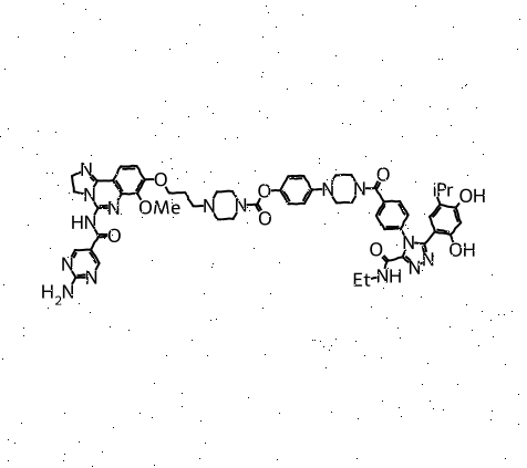 CCNC(=O)c1nnc(-c2cc(C(C)C)c(O)cc2O)n1-c1ccc(C(=O)N2CCN(c3ccc(OC(=O)N4CCN(CCCOc5ccc6c(c5OC)N=C(NC(=O)c5cnc(N)nc5)N5CCN=C65)CC4)cc3)CC2)cc1